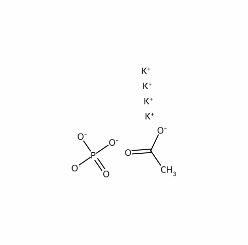 CC(=O)[O-].O=P([O-])([O-])[O-].[K+].[K+].[K+].[K+]